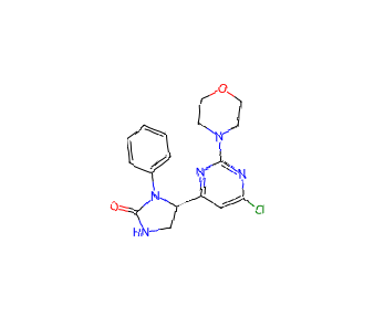 O=C1NCC(c2cc(Cl)nc(N3CCOCC3)n2)N1c1ccccc1